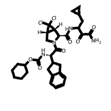 NC(=O)C(=O)C(CC1CC1)NC(=O)[C@@H]1[C@@H]2[C@H](CN1C(=O)[C@@H](NC(=O)OC1CCCCC1)C1Cc3ccccc3C1)C2(Cl)Cl